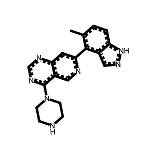 Cc1ccc2[nH]ncc2c1-c1cc2ncnc(N3CCNCC3)c2cn1